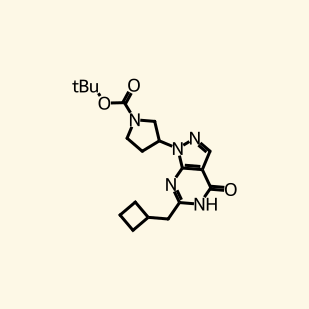 CC(C)(C)OC(=O)N1CCC(n2ncc3c(=O)[nH]c(CC4CCC4)nc32)C1